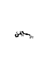 CC(C)CC#Cc1csc(-c2cccs2)n1